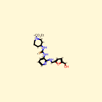 CCOC(=O)N1CCCC(NC(=S)Nc2cccnc2NCc2ccc(CO)o2)CC1